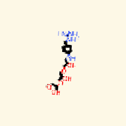 COCC(CO)OCC(O)COCC(O)CNc1ccc(CNC(=N)N)cc1